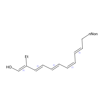 CCCCCCCCCC/C=C/C=C\C=C\C=C\C(=C\O)CC